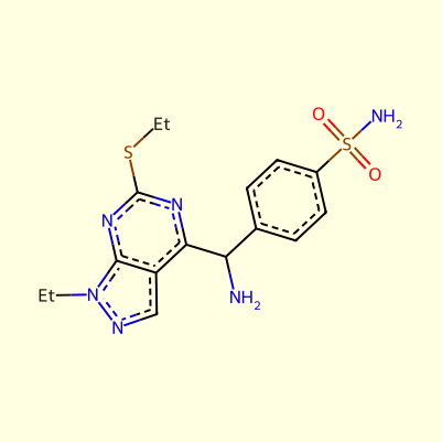 CCSc1nc(C(N)c2ccc(S(N)(=O)=O)cc2)c2cnn(CC)c2n1